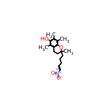 Cc1c(C)c2c(c(C)c1O)CCC(C)(CCC/C=C/[N+](=O)[O-])O2